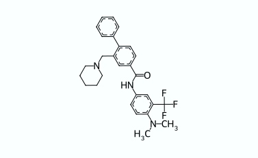 CN(C)c1ccc(NC(=O)c2ccc(-c3ccccc3)c(CN3CCCCC3)c2)cc1C(F)(F)F